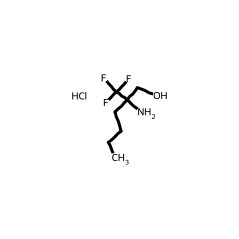 CCCCC(N)(CO)C(F)(F)F.Cl